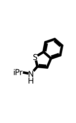 CC(C)Nc1cc2ccccc2s1